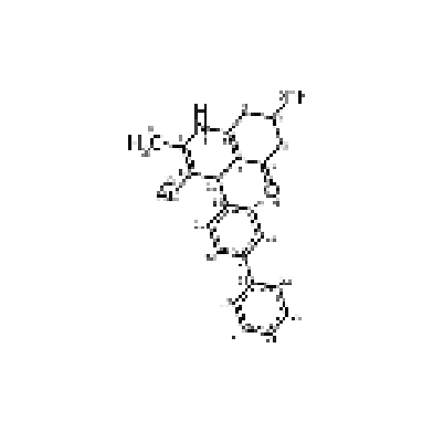 CCC1CC(=O)C2=C(C1)NC(C)=C(C(C)=O)C2c1ccc(-c2ccccc2)cc1